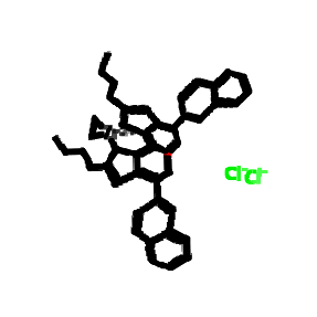 CCCCC1=Cc2c(-c3ccc4ccccc4c3)cccc2[CH]1[Zr+2]1([CH]2C(CCCC)=Cc3c(-c4ccc5ccccc5c4)cccc32)[CH2][CH2]1.[Cl-].[Cl-]